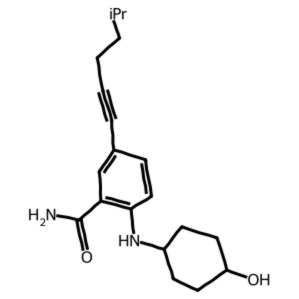 CC(C)CCC#Cc1ccc(NC2CCC(O)CC2)c(C(N)=O)c1